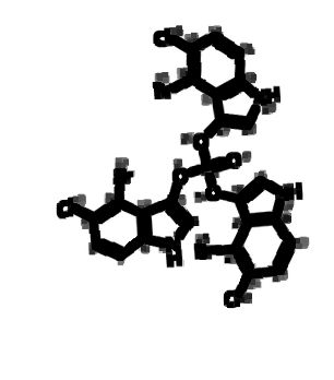 O=P(Oc1c[nH]c2ccc(Cl)c(Br)c12)(Oc1c[nH]c2ccc(Cl)c(Br)c12)Oc1c[nH]c2ccc(Cl)c(Br)c12